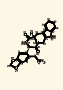 NCc1cc2c(cc1[C@@H]1NC(=O)[C@H]3Cc4c([nH]c5ccccc45)CN3C1=O)OCO2